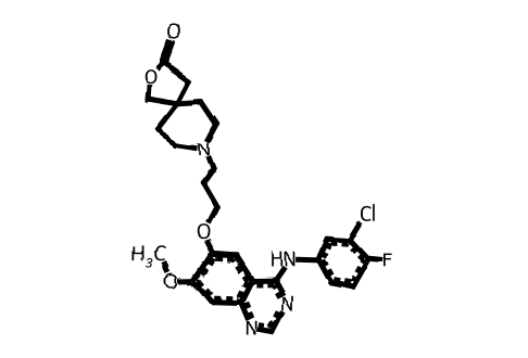 COc1cc2ncnc(Nc3ccc(F)c(Cl)c3)c2cc1OCCCN1CCC2(CC1)COC(=O)C2